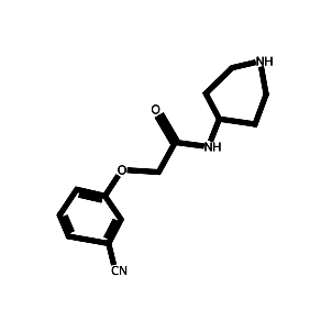 N#Cc1cccc(OCC(=O)NC2CCNCC2)c1